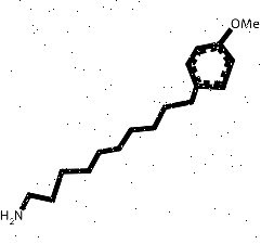 COc1ccc(CCCCCCCCCCN)cc1